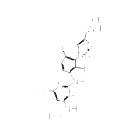 CNCc1cn(-c2c(Cl)ccc(Nc3nc(C)cc(NC)n3)c2F)nn1